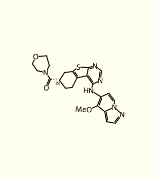 COc1c(Nc2ncnc3sc4c(c23)CC[C@H](C(=O)N2CCOCC2)C4)ccn2nccc12